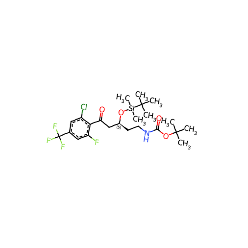 CC(C)(C)OC(=O)NCC[C@@H](CC(=O)c1c(F)cc(C(F)(F)F)cc1Cl)O[Si](C)(C)C(C)(C)C